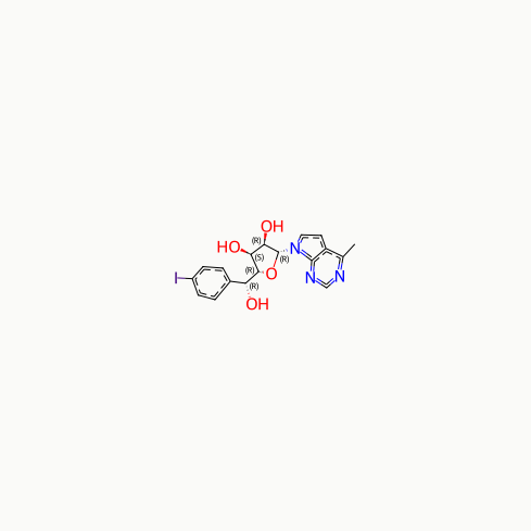 Cc1ncnc2c1ccn2[C@@H]1O[C@H]([C@H](O)c2ccc(I)cc2)[C@@H](O)[C@H]1O